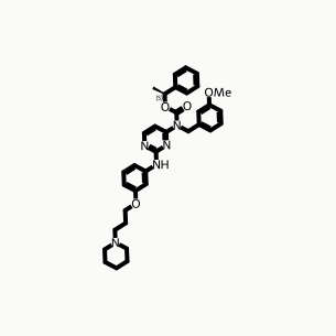 COc1cccc(CN(C(=O)O[C@@H](C)c2ccccc2)c2ccnc(Nc3cccc(OCCCN4CCCCC4)c3)n2)c1